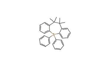 CC1(C)c2ccccc2S(c2ccccc2)(c2ccccc2)c2ccccc2C1(C)C